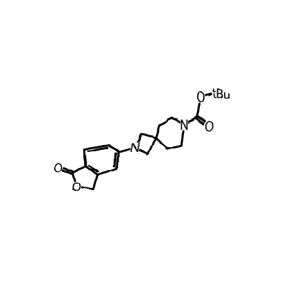 CC(C)(C)OC(=O)N1CCC2(CC1)CN(c1ccc3c(c1)COC3=O)C2